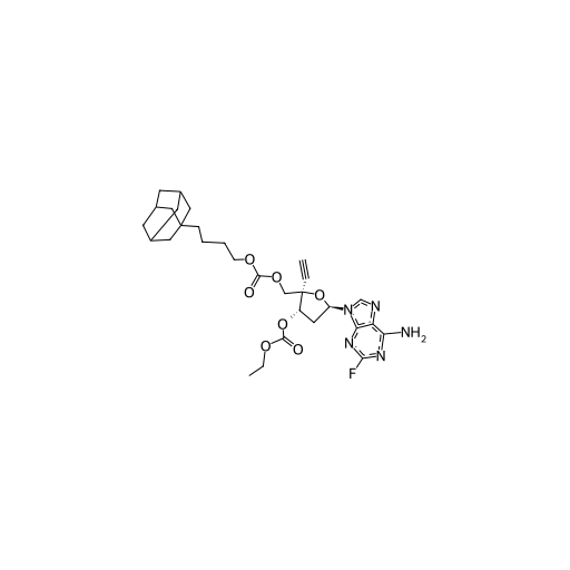 C#C[C@]1(COC(=O)OCCCCC23CC4CC(CC(C4)C2)C3)O[C@@H](n2cnc3c(N)nc(F)nc32)C[C@@H]1OC(=O)OCC